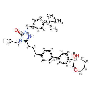 CCn1c(CCCc2ccc(-c3ccc(C4(O)CCCCOC4)cc3)cc2)nn(Cc2ccc(C(C)(C)C)cc2)c1=O